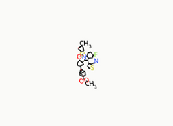 COC(=O)C12CCC(C3=CC(c4c(-c5ccsc5C#N)c5cc(F)ccc5n4[S+]([O-])c4ccc(C)cc4)=CCC3)(CC1)CC2